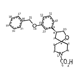 O=C(O)N1CCC2(CC1)C[C@@H](c1cccc(OCc3ccccc3)c1)CO2